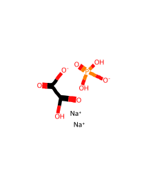 O=C([O-])C(=O)O.O=P([O-])(O)O.[Na+].[Na+]